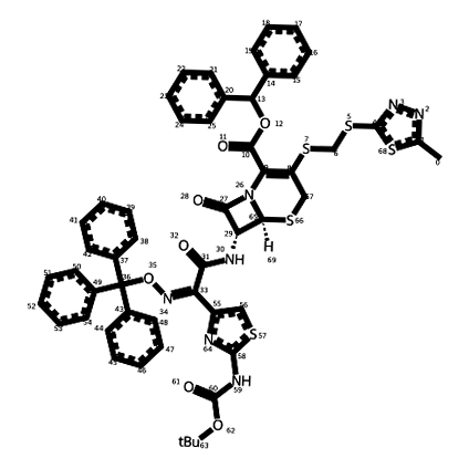 Cc1nnc(SCSC2=C(C(=O)OC(c3ccccc3)c3ccccc3)N3C(=O)[C@@H](NC(=O)/C(=N\OC(c4ccccc4)(c4ccccc4)c4ccccc4)c4csc(NC(=O)OC(C)(C)C)n4)[C@@H]3SC2)s1